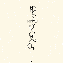 O=C(Nc1ccc(C2CCN(C(=O)Cc3cccc(F)c3)CC2)cc1)C1CN(c2cccnn2)C1